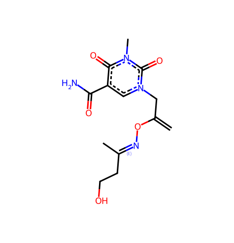 C=C(Cn1cc(C(N)=O)c(=O)n(C)c1=O)O/N=C(\C)CCO